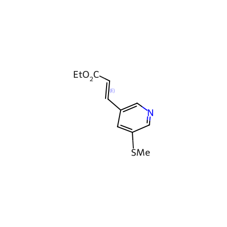 CCOC(=O)/C=C/c1cncc(SC)c1